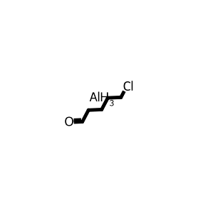 O=CCCCCCl.[AlH3]